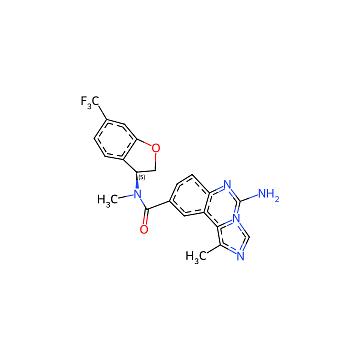 Cc1ncn2c(N)nc3ccc(C(=O)N(C)[C@@H]4COc5cc(C(F)(F)F)ccc54)cc3c12